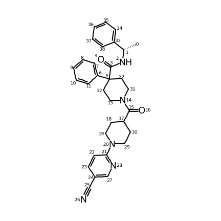 C[C@H](NC(=O)C1(c2ccccc2)CCN(C(=O)C2CCN(c3ccc(C#N)cn3)CC2)CC1)c1ccccc1